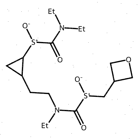 CCN(CCC1CC1[S+]([O-])C(=O)N(CC)CC)C(=O)[S+]([O-])CC1COC1